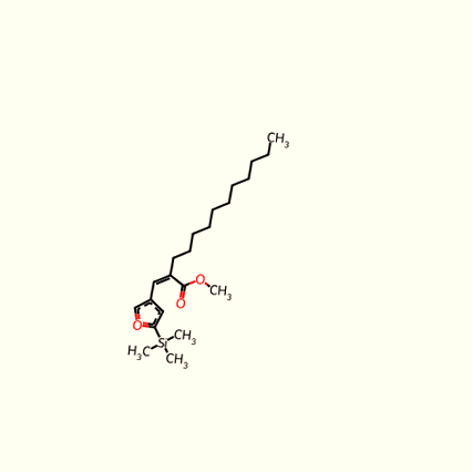 CCCCCCCCCCCC(=Cc1coc([Si](C)(C)C)c1)C(=O)OC